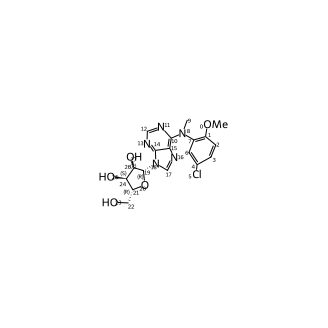 COc1ccc(Cl)cc1N(C)c1ncnc2c1ncn2[C@@H]1O[C@H](CO)[C@@H](O)[C@H]1O